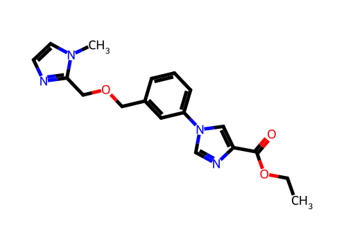 CCOC(=O)c1cn(-c2cccc(COCc3nccn3C)c2)cn1